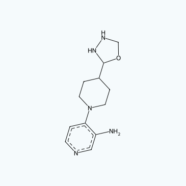 Nc1cnccc1N1CCC(C2NNCO2)CC1